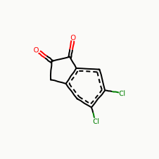 O=C1Cc2cc(Cl)c(Cl)cc2C1=O